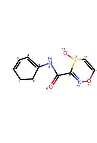 O=C(NC1=CC=CCC1)C1=NOC=C[S+]1[O-]